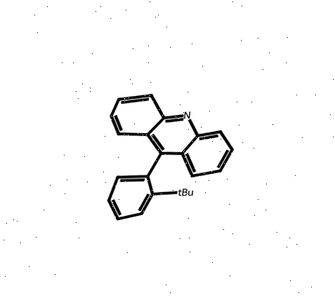 CC(C)(C)c1ccccc1-c1c2ccccc2nc2ccccc12